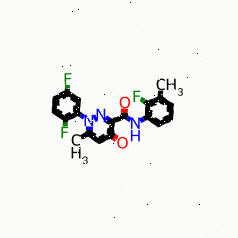 Cc1cccc(NC(=O)c2nn(-c3cc(F)ccc3F)c(C)cc2=O)c1F